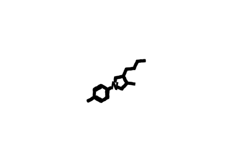 CCCCC1CN(c2ccc(C)cc2)CC1C